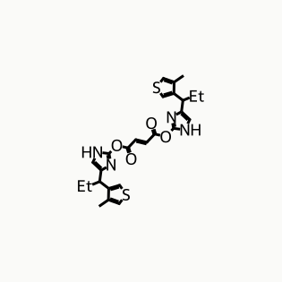 CCC(c1c[nH]c(OC(=O)/C=C/C(=O)Oc2nc(C(CC)c3cscc3C)c[nH]2)n1)c1cscc1C